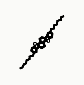 CCCCCCCCc1ccc2oc3c(ccc4c3ccc3c5cc(CCCCCCCC)ccc5oc34)c2c1